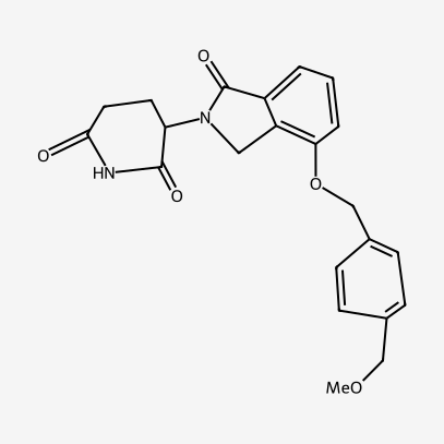 COCc1ccc(COc2cccc3c2CN(C2CCC(=O)NC2=O)C3=O)cc1